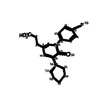 O=C(O)CCc1cn(-c2ccc(F)cc2)c(=O)c(N2CCCCC2)n1